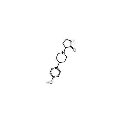 O=C1NCCC1N1CCC(c2ccc(O)cc2)CC1